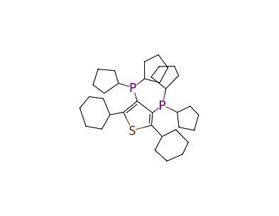 C1CCC(c2sc(C3CCCCC3)c(P(C3CCCC3)C3CCCC3)c2P(C2CCCC2)C2CCCC2)CC1